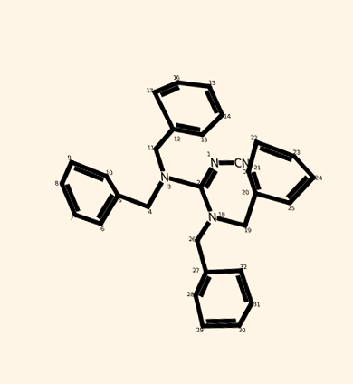 N#CN=C(N(Cc1ccccc1)Cc1ccccc1)N(Cc1ccccc1)Cc1ccccc1